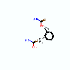 C.C.Cc1ccccc1.NC(O)=S.NC(O)=S